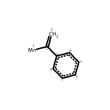 C=[C]([Mn])c1ccccc1